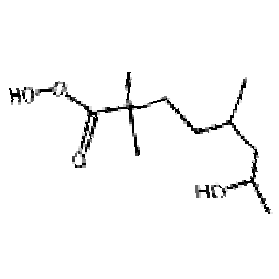 CC(O)CC(C)CCC(C)(C)C(=O)OO